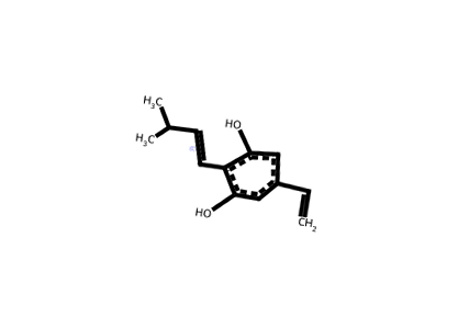 C=Cc1cc(O)c(/C=C/C(C)C)c(O)c1